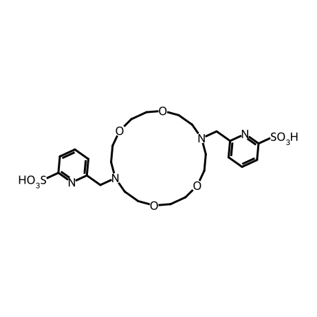 O=S(=O)(O)c1cccc(CN2CCOCCOCCN(Cc3cccc(S(=O)(=O)O)n3)CCOCCOCC2)n1